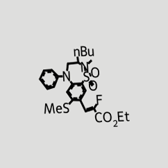 CCCCC1CN(c2ccccc2)c2cc(SC)c(C=C(F)C(=O)OCC)cc2S(=O)(=O)N1C